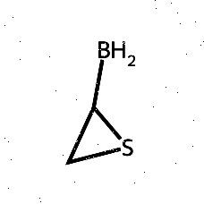 BC1CS1